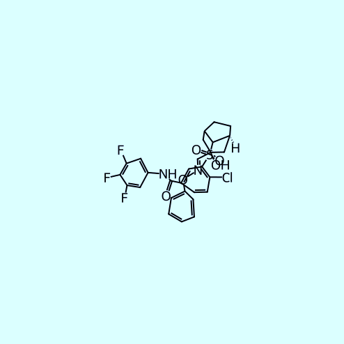 O=C(Nc1cc(F)c(F)c(F)c1)c1ccc(Cl)c(S(=O)(=O)C2C3CC[C@H]2CC(O)(/C=N/Oc2ccccc2)C3)c1